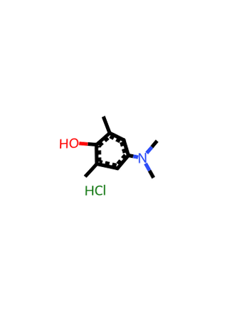 Cc1cc(N(C)C)cc(C)c1O.Cl